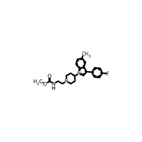 COC(=O)NCCN1CCC(n2cc(-c3ccc(F)cc3)c3cc(C)ccc32)CC1